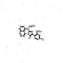 CCCN(c1nc(-c2ccc(Cl)cc2OC)c(C)s1)c1cccc2ncccc12.Cl